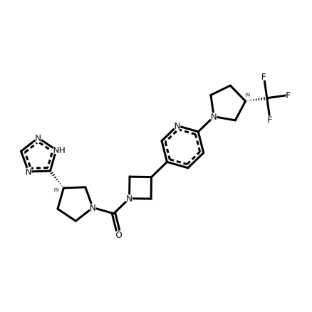 O=C(N1CC(c2ccc(N3CC[C@H](C(F)(F)F)C3)nc2)C1)N1CC[C@H](c2ncn[nH]2)C1